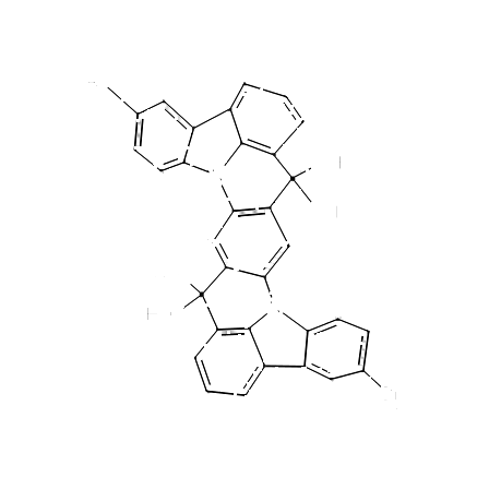 CC1(C)c2cc3c(cc2-n2c4ccc(Br)cc4c4cccc1c42)C(C)(C)c1cccc2c4cc(Br)ccc4n-3c12